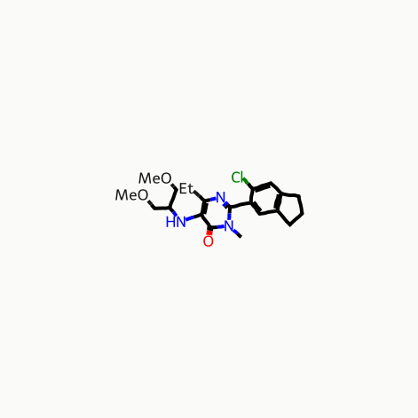 CCc1nc(-c2cc3c(cc2Cl)CCC3)n(C)c(=O)c1NC(COC)COC